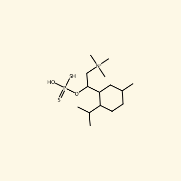 CC1CCC(C(C)C)C(C(C[N+](C)(C)C)OP(O)(=S)S)C1